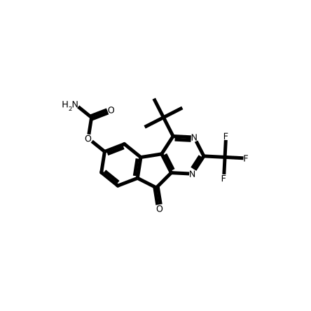 CC(C)(C)c1nc(C(F)(F)F)nc2c1-c1cc(OC(N)=O)ccc1C2=O